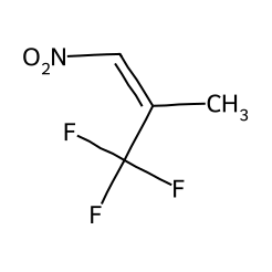 CC(=C[N+](=O)[O-])C(F)(F)F